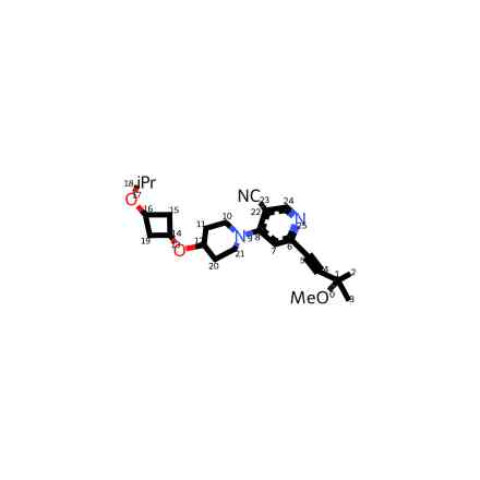 COC(C)(C)C#Cc1cc(N2CCC(OC3CC(OC(C)C)C3)CC2)c(C#N)cn1